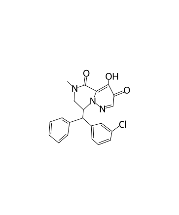 CN1CC(C(c2ccccc2)c2cccc(Cl)c2)n2ncc(=O)c(O)c2C1=O